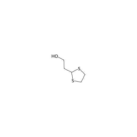 OCCC1SCCS1